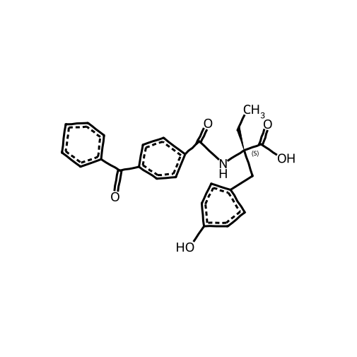 CC[C@@](Cc1ccc(O)cc1)(NC(=O)c1ccc(C(=O)c2ccccc2)cc1)C(=O)O